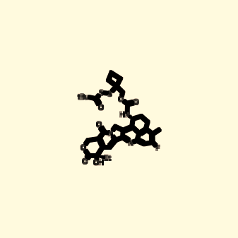 CC[C@@]1(O)C(=O)OCc2c1cc1n(c2=O)Cc2c-1nc1cc(F)c(C)c3c1c2[C@@H](NC(=O)OCC1(SSC(=O)C(C)(C)C)CCC1)CC3